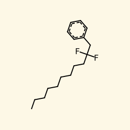 CCCCCCCCCC(F)(F)Cc1ccccc1